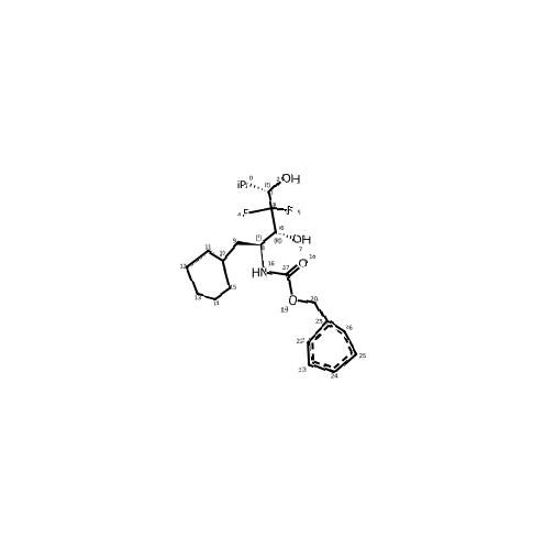 CC(C)[C@H](O)C(F)(F)[C@H](O)[C@H](CC1CCCCC1)NC(=O)OCc1ccccc1